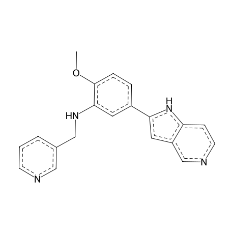 COc1ccc(-c2cc3cnccc3[nH]2)cc1NCc1cccnc1